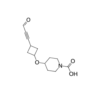 O=CC#CC1CC(OC2CCN(C(=O)O)CC2)C1